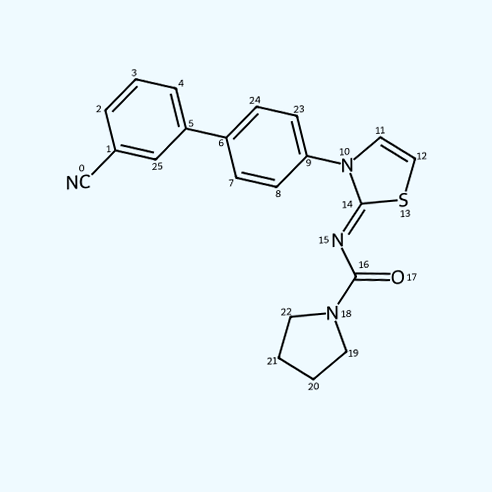 N#Cc1cccc(-c2ccc(-n3ccs/c3=N\C(=O)N3CCCC3)cc2)c1